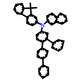 CC1(C)c2ccccc2-c2ccc(N(c3ccc(-c4ccc(-c5ccccc5)cc4)c(-c4ccccc4)c3)c3ccc4ccccc4c3)cc21